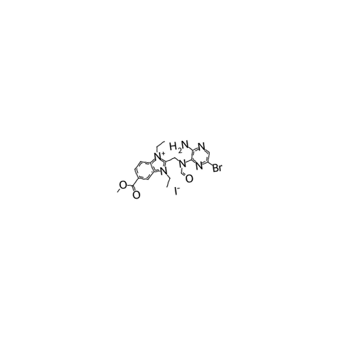 CCn1c(CN(C=O)c2nc(Br)cnc2N)[n+](CC)c2ccc(C(=O)OC)cc21.[I-]